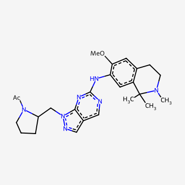 COc1cc2c(cc1Nc1ncc3cnn(CC4CCCN4C(C)=O)c3n1)C(C)(C)N(C)CC2